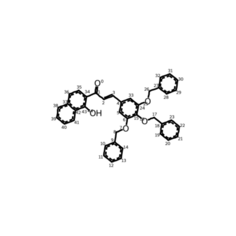 O=C(C=Cc1cc(OCc2ccccc2)c(OCc2ccccc2)c(OCc2ccccc2)c1)c1ccc2ccccc2c1O